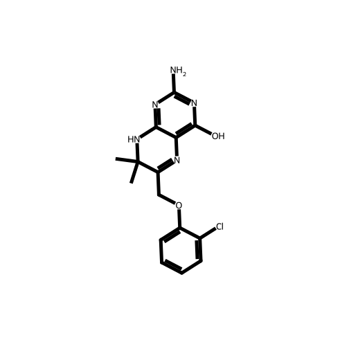 CC1(C)Nc2nc(N)nc(O)c2N=C1COc1ccccc1Cl